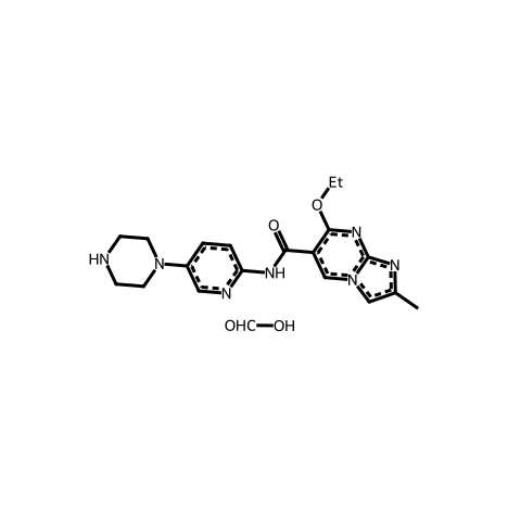 CCOc1nc2nc(C)cn2cc1C(=O)Nc1ccc(N2CCNCC2)cn1.O=CO